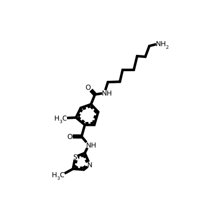 Cc1cnc(NC(=O)c2ccc(C(=O)NCCCCCCCN)cc2C)s1